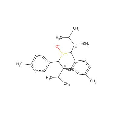 Cc1ccc(C([C@@H](C)C(C)C)[S+]([O-])C(c2ccc(C)cc2)[C@@H](C)C(C)C)cc1